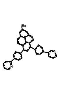 CC(C)(C)c1cc2ccc3c(-c4ccc(-c5cccnc5)cc4)cc(-c4ccc(-c5ccccn5)cc4)c4ccc(c1)c2c34